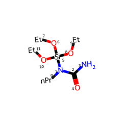 CCCN(C(N)=O)[Si](OCC)(OCC)OCC